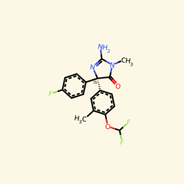 Cc1cc([C@]2(c3ccc(F)cc3)N=C(N)N(C)C2=O)ccc1OC(F)F